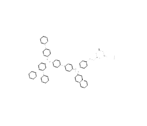 C=C1CC(C)CC(CCc2ccc(N(c3ccc(-c4ccc(N(c5ccc(-c6ccccc6)cc5)c5ccc(-c6ccccc6)c(-c6ccccc6)c5)cc4)cc3)c3ccc4ccccc4c3)cc2)C1